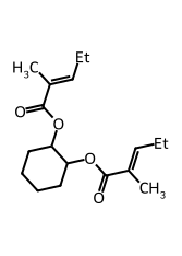 CCC=C(C)C(=O)OC1CCCCC1OC(=O)C(C)=CCC